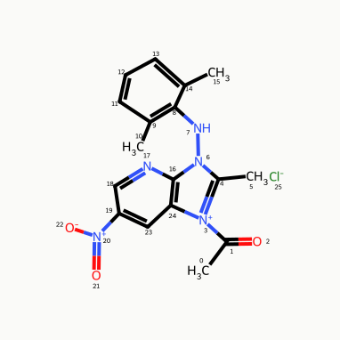 CC(=O)[n+]1c(C)n(Nc2c(C)cccc2C)c2ncc([N+](=O)[O-])cc21.[Cl-]